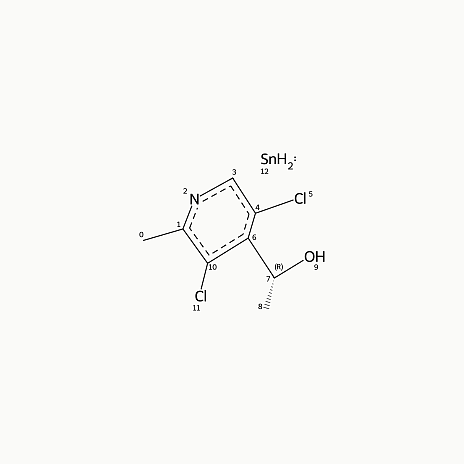 Cc1ncc(Cl)c([C@@H](C)O)c1Cl.[SnH2]